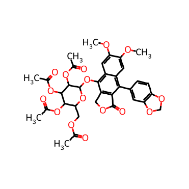 COc1cc2c(OC3OC(COC(C)=O)C(OC(C)=O)C(OC(C)=O)C3OC(C)=O)c3c(c(-c4ccc5c(c4)OCO5)c2cc1OC)C(=O)OC3